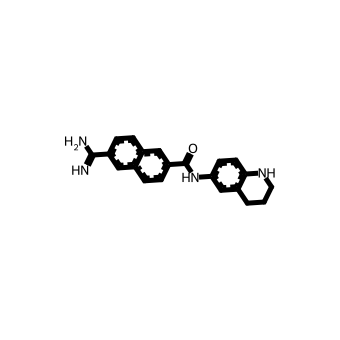 N=C(N)c1ccc2cc(C(=O)Nc3ccc4c(c3)CCCN4)ccc2c1